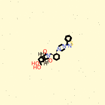 O=C1[C@@H]2[C@@H]3C[C@H]([C@@H]2C(=O)N1C[C@@H]1CCCC[C@H]1CN1CCN(c2nsc4ccccc24)CC1)C(O)(CO)C3